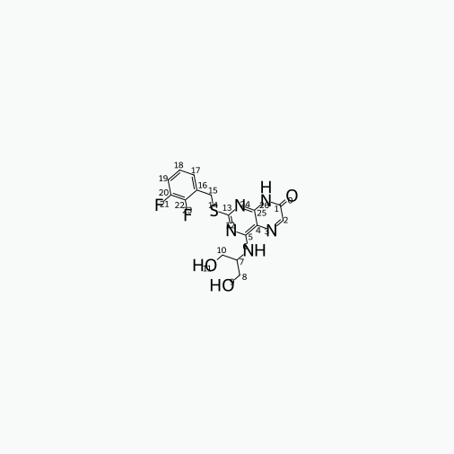 O=c1cnc2c(NC(CO)CO)nc(SCc3cccc(F)c3F)nc2[nH]1